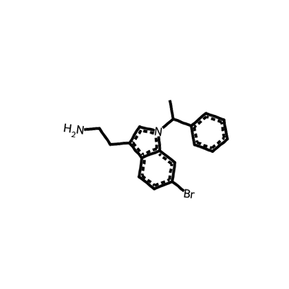 CC(c1ccccc1)n1cc(CCN)c2ccc(Br)cc21